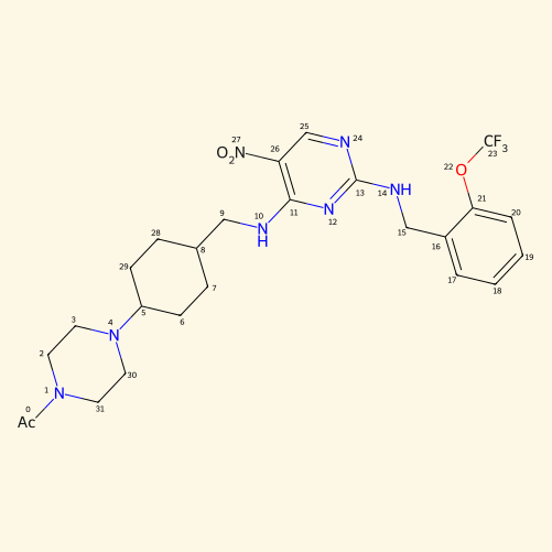 CC(=O)N1CCN(C2CCC(CNc3nc(NCc4ccccc4OC(F)(F)F)ncc3[N+](=O)[O-])CC2)CC1